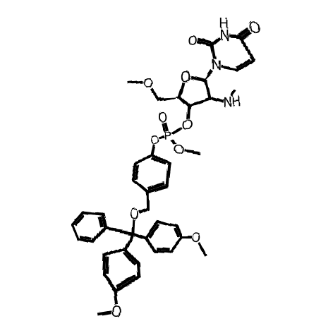 CNC1C(OP(=O)(OC)Oc2ccc(COC(c3ccccc3)(c3ccc(OC)cc3)c3ccc(OC)cc3)cc2)[C@@H](COC)O[C@H]1n1ccc(=O)[nH]c1=O